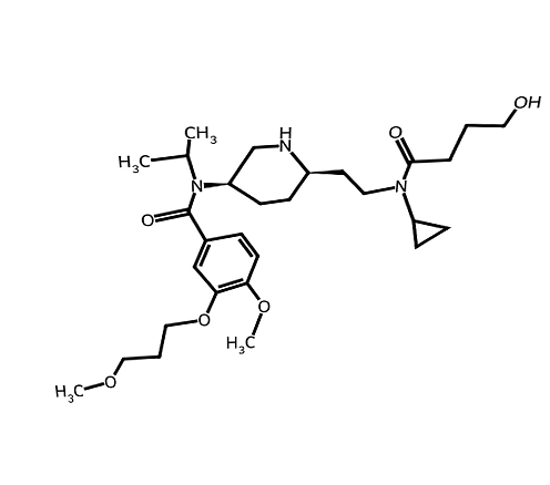 COCCCOc1cc(C(=O)N(C(C)C)[C@@H]2CC[C@H](CCN(C(=O)CCCO)C3CC3)NC2)ccc1OC